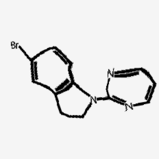 Brc1ccc2c(c1)CCN2c1ncccn1